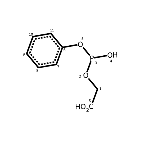 O=C(O)COP(O)Oc1ccccc1